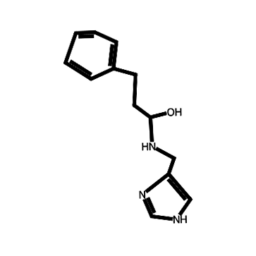 OC(CCc1ccccc1)NCc1c[nH]cn1